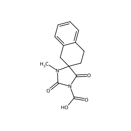 CN1C(=O)N(C(=O)O)C(=O)C12CCc1ccccc1C2